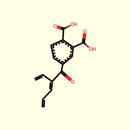 C=C/C=C(\C=C)C(=O)c1ccc(C(=O)O)c(C(=O)O)c1